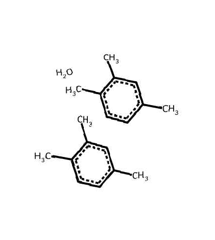 Cc1ccc(C)c(C)c1.Cc1ccc(C)c(C)c1.O